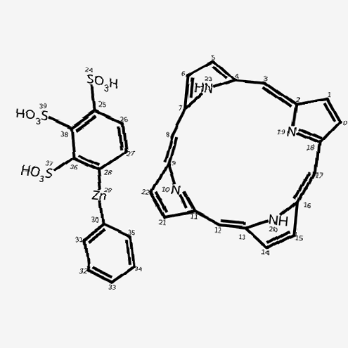 C1=Cc2cc3ccc(cc4nc(cc5ccc(cc1n2)[nH]5)C=C4)[nH]3.O=S(=O)(O)c1cc[c]([Zn][c]2ccccc2)c(S(=O)(=O)O)c1S(=O)(=O)O